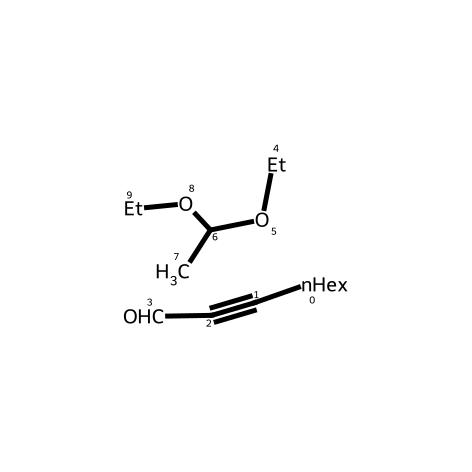 CCCCCCC#CC=O.CCOC(C)OCC